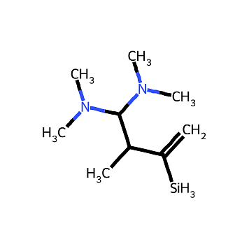 C=C([SiH3])C(C)C(N(C)C)N(C)C